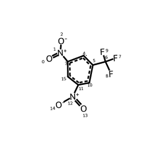 O=[N+]([O-])c1[c]c(C(F)(F)F)cc([N+](=O)[O-])c1